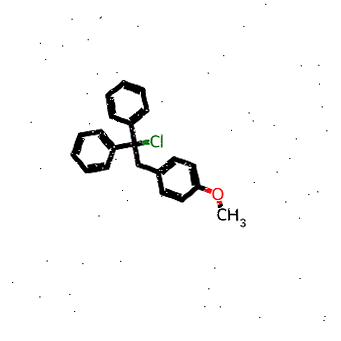 COc1ccc(CC(Cl)(c2ccccc2)c2ccccc2)cc1